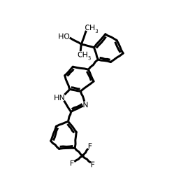 CC(C)(O)c1ccccc1-c1ccc2[nH]c(-c3cccc(C(F)(F)F)c3)nc2c1